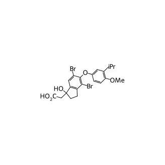 COc1ccc(Oc2c(Br)cc3c(c2Br)CCC3(O)CC(=O)O)cc1C(C)C